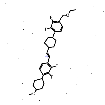 CCOCc1ccc(C2CCC(/C=C/c3ccc(C4CCC(OC)CC4)c(F)c3F)CC2)c(F)c1F